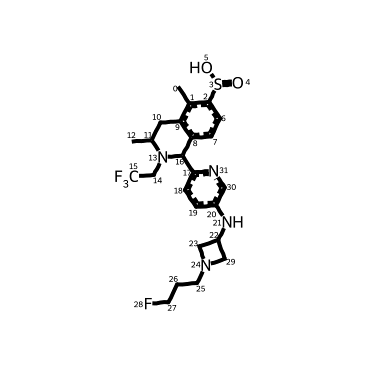 Cc1c(S(=O)O)ccc2c1CC(C)N(CC(F)(F)F)C2c1ccc(NC2CN(CCCF)C2)cn1